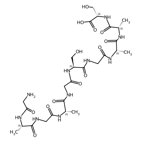 C[C@H](NC(=O)CN)C(=O)NCC(=O)N[C@@H](C)C(=O)NCC(=O)N[C@@H](CO)C(=O)NCC(=O)N[C@@H](C)C(=O)N[C@@H](C)C(=O)N[C@@H](CO)C(=O)O